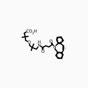 CC(C)(CNC(=O)CCC(=O)N1Cc2ccccc2/C=C\c2ccccc21)COCC(C)(C)CC(=O)O